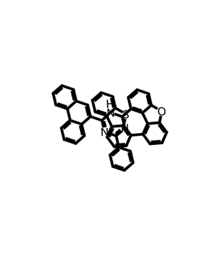 c1ccc(C2=NC(c3cccc4oc5cccc(-c6cccc7c6sc6ccccc67)c5c34)NC(c3cc4ccccc4c4ccccc34)=N2)cc1